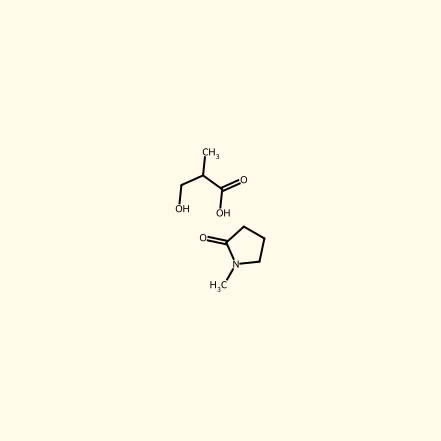 CC(CO)C(=O)O.CN1CCCC1=O